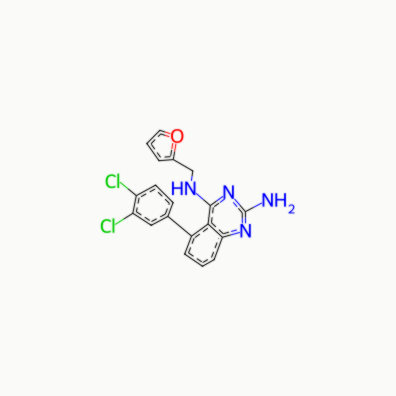 Nc1nc(NCc2ccco2)c2c(-c3ccc(Cl)c(Cl)c3)cccc2n1